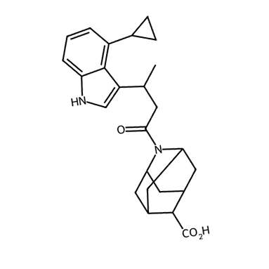 CC(CC(=O)N1C2CC3CC1CC(C2)C3C(=O)O)c1c[nH]c2cccc(C3CC3)c12